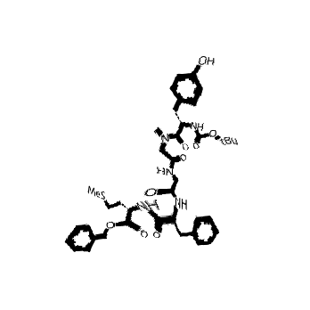 CSCC[C@H](NC(=O)[C@H](Cc1ccccc1)NC(=O)CNC(=O)CN(C)C(=O)[C@H](Cc1ccc(O)cc1)NC(=O)OC(C)(C)C)C(=O)OCc1ccccc1